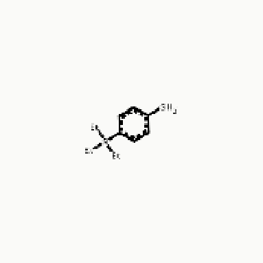 CC[Si](CC)(CC)c1ccc([SiH2])cc1